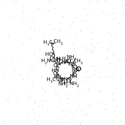 CC[C@H](C)CCCC[C@@H](O)CC(=O)N[C@H](CCN)C(=O)N[C@H]1CCNC(=O)[C@H](CC(C)C)NC(=O)[C@H](CCN)NC(=O)[C@H](CCN)NC(=O)[C@H](Cc2ccccc2)NC(=O)[C@@H](CC(C)C)NC(=O)[C@H](CCN)NC1=O